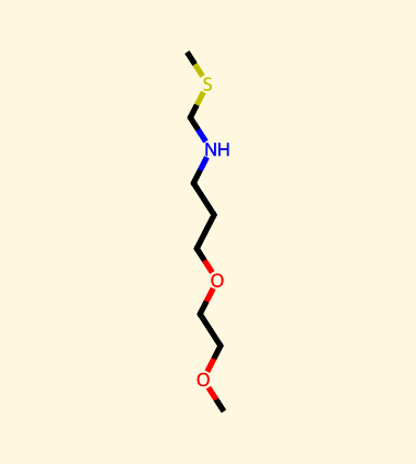 COCCOCCCNCSC